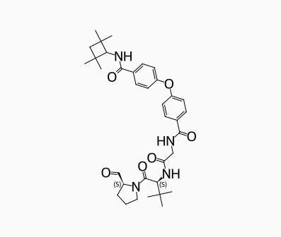 CC1(C)CC(C)(C)C1NC(=O)c1ccc(Oc2ccc(C(=O)NCC(=O)N[C@H](C(=O)N3CCC[C@H]3C=O)C(C)(C)C)cc2)cc1